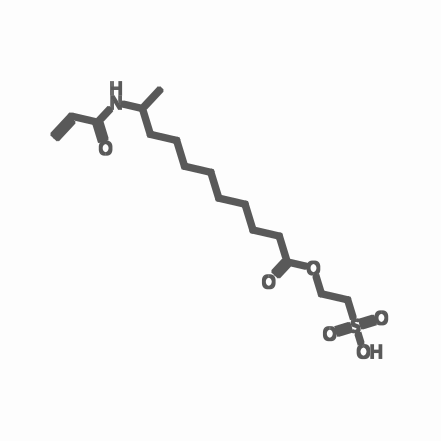 C=CC(=O)NC(C)CCCCCCCCC(=O)OCCS(=O)(=O)O